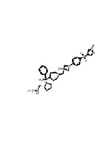 Cn1cc(S(=O)(=O)c2ccc(N3CC(F)(CN4CCC(C(C#N)(c5ccccc5)[C@@H]5CCC[C@@H]5CNC(=O)O)CC4)C3)cc2)cn1